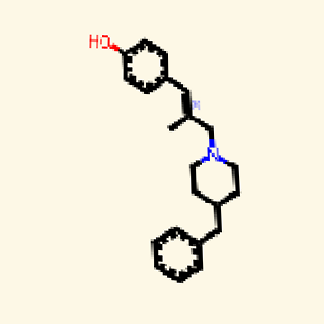 C/C(=C\c1ccc(O)cc1)CN1CCC(Cc2ccccc2)CC1